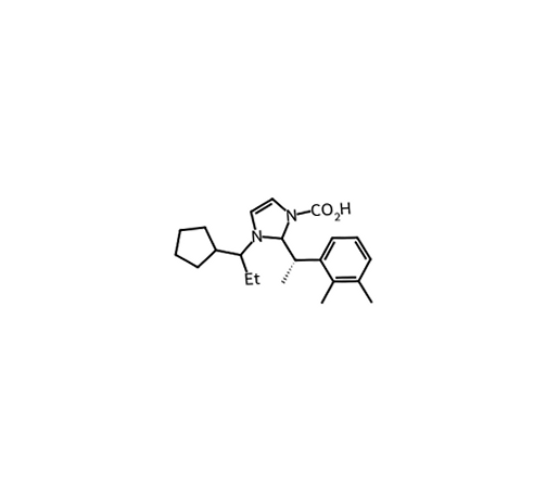 CCC(C1CCCC1)N1C=CN(C(=O)O)C1[C@@H](C)c1cccc(C)c1C